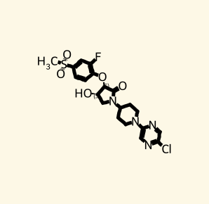 CS(=O)(=O)c1ccc(O[C@@H]2C(=O)N(C3CCN(c4cnc(Cl)cn4)CC3)C[C@@H]2O)c(F)c1